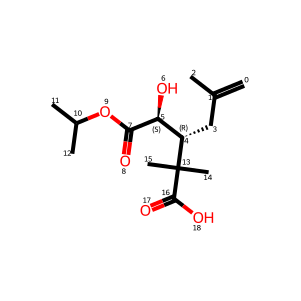 C=C(C)C[C@@H]([C@H](O)C(=O)OC(C)C)C(C)(C)C(=O)O